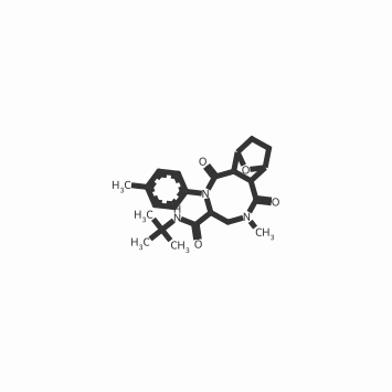 Cc1ccc(N2C(=O)C3C4CCC(O4)C3C(=O)N(C)CC2C(=O)NC(C)(C)C)cc1